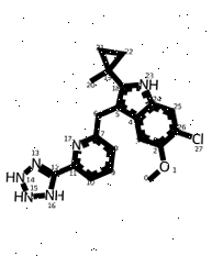 COc1cc2c(Cc3cccc(C4=NNNN4)n3)c(C3(C)CC3)[nH]c2cc1Cl